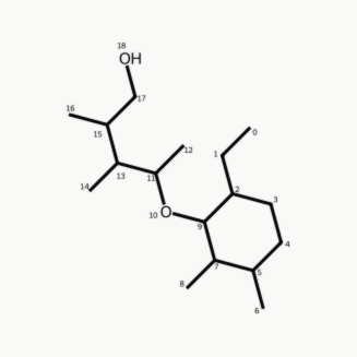 CCC1CCC(C)C(C)C1OC(C)C(C)C(C)CO